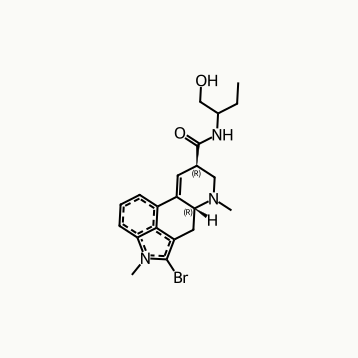 CCC(CO)NC(=O)[C@@H]1C=C2c3cccc4c3c(c(Br)n4C)C[C@H]2N(C)C1